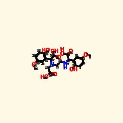 COc1ccc(O)c(C(NCCN(CC(=O)O)C(C(=O)O)c2cc(OC)ccc2O)C(=O)O)c1